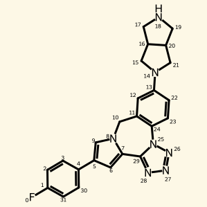 Fc1ccc(-c2cc3n(c2)Cc2cc(N4CC5CNCC5C4)ccc2-n2nnnc2-3)cc1